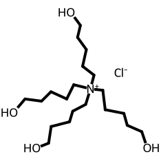 OCCCCC[N+](CCCCCO)(CCCCCO)CCCCCO.[Cl-]